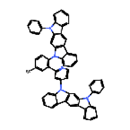 FC(F)(F)c1ccc(-n2c3ccccc3c3cc4c5ccccc5n(-c5ccccc5)c4cc32)c(-c2cc(-n3c4ccccc4c4cc5c6ccccc6n(-c6ccccc6)c5cc43)ccn2)c1